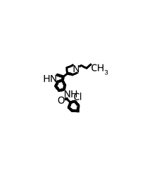 CCCCN1CC=C(c2c[nH]c3ccc(NC(=O)c4ccccc4Cl)cc23)CC1